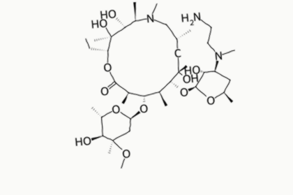 CC[C@H]1OC(=O)[C@H](C)[C@@H](O[C@H]2C[C@@](C)(OC)[C@@H](O)[C@H](C)O2)[C@H](C)[C@@H](O[C@@H]2O[C@H](C)C[C@H](N(C)CCN)[C@H]2O)[C@@](C)(O)C[C@@H](C)CN(C)[C@H](C)[C@@H](O)[C@]1(C)O